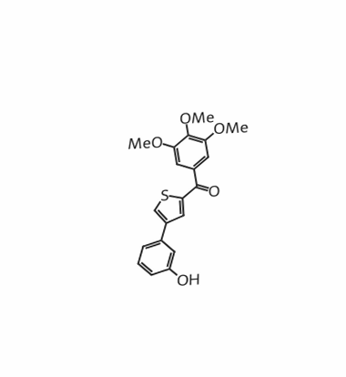 COc1cc(C(=O)c2cc(-c3cccc(O)c3)cs2)cc(OC)c1OC